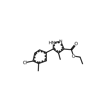 CCOC(=O)c1n[nH]c(-c2ccc(Cl)c(C)c2)c1C